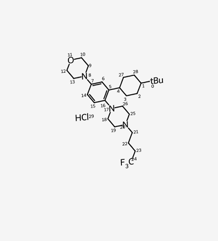 CC(C)(C)C1CCC(c2cc(N3CCOCC3)ccc2N2CCN(CCCC(F)(F)F)CC2)CC1.Cl